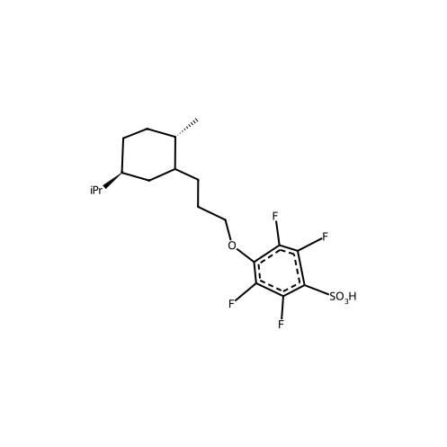 CC(C)[C@H]1CC[C@H](C)C(CCCOc2c(F)c(F)c(S(=O)(=O)O)c(F)c2F)C1